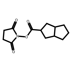 O=C(ON1C(=O)CCC1=O)C1CC2CCCC2C1